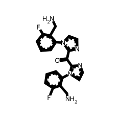 NCc1c(F)cccc1-n1ccnc1C(=O)c1nccn1-c1cccc(F)c1CN